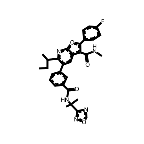 CCC(C)c1nc2oc(-c3ccc(F)cc3)c(C(=O)NC)c2cc1-c1cccc(C(=O)NC(C)(C)c2ncon2)c1